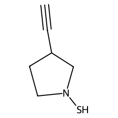 C#CC1CCN(S)C1